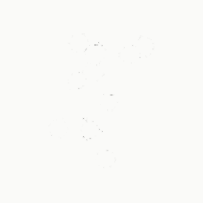 c1ccc(-c2nc(-c3ccccc3)nc(-c3cccc(-c4cc5c(-c6ccc7ccccc7c6)nc6ccccc6c5c5ccccc45)c3)n2)cc1